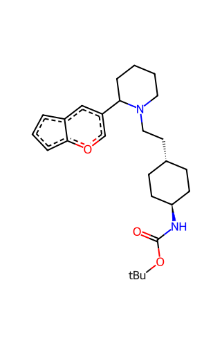 CC(C)(C)OC(=O)N[C@H]1CC[C@H](CCN2CCCCC2c2coc3cccc-3c2)CC1